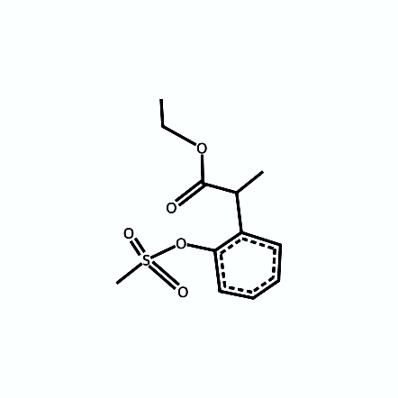 CCOC(=O)C(C)c1ccccc1OS(C)(=O)=O